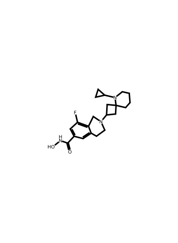 O=C(NO)c1cc(F)c2c(c1)CCN(C1CC3(CCCCN3C3CC3)C1)C2